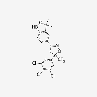 CC1(C)OBc2ccc(C3=NO[C@](c4cc(Cl)c(Cl)c(Cl)c4)(C(F)(F)F)C3)cc21